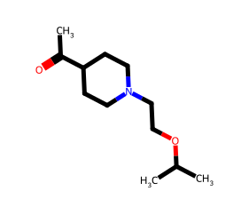 CC(=O)C1CCN(CCOC(C)C)CC1